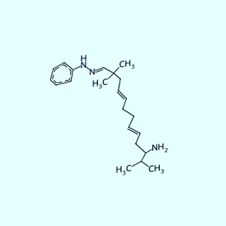 CC(C)C(N)CC=CCCC=CCC(C)(C)C=NNc1ccccc1